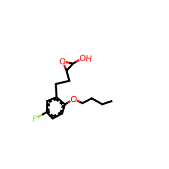 CCCCOc1ccc(F)cc1CCC1OC1O